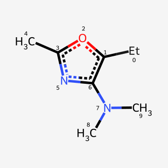 CCc1oc(C)nc1N(C)C